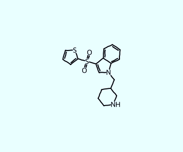 O=S(=O)(c1cccs1)c1cn(CC2CCCNC2)c2ccccc12